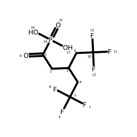 O=C(CC(CC(F)(F)F)CC(F)(F)F)P(=O)(O)O